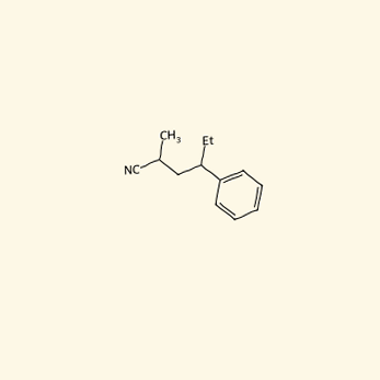 CCC(CC(C)C#N)c1ccccc1